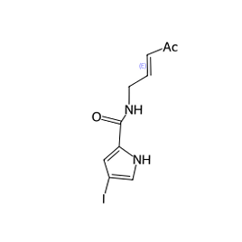 CC(=O)/C=C/CNC(=O)c1cc(I)c[nH]1